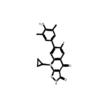 Cc1cc(-c2cc3c(cc2F)c(=O)c2c(=O)[nH]sc2n3C2CC2)cc(C)c1N